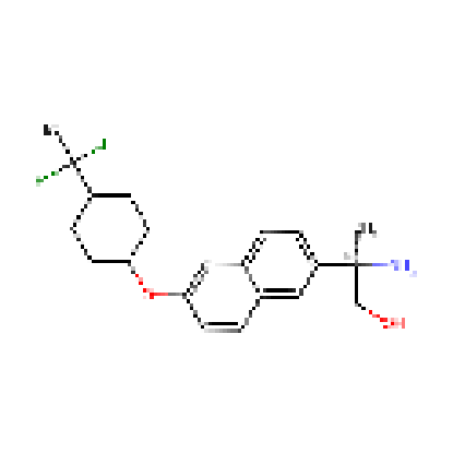 CCC(F)(F)C1CCC(Oc2ccc3cc([C@@](C)(N)CO)ccc3c2)CC1